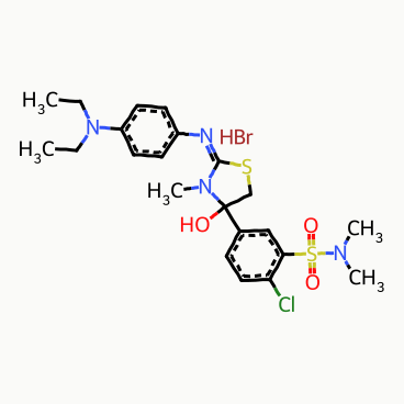 Br.CCN(CC)c1ccc(N=C2SCC(O)(c3ccc(Cl)c(S(=O)(=O)N(C)C)c3)N2C)cc1